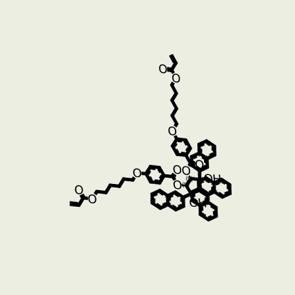 C=CC(=O)OCCCCCCOc1ccc(C(=O)O[C@@H]([C@H](OC(=O)c2ccc(OCCCCCCOC(=O)C=C)cc2)C(O)(c2ccc3ccccc3c2)c2ccc3ccccc3c2)C(O)(c2ccc3ccccc3c2)c2ccc3ccccc3c2)cc1